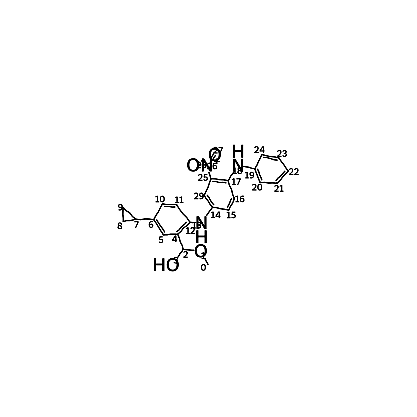 COC(O)c1cc(C2CC2)ccc1Nc1ccc(Nc2ccccc2)c([N+](=O)[O-])c1